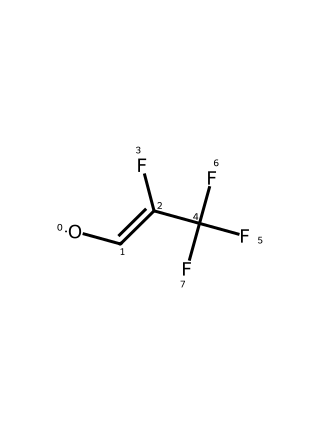 [O]C=C(F)C(F)(F)F